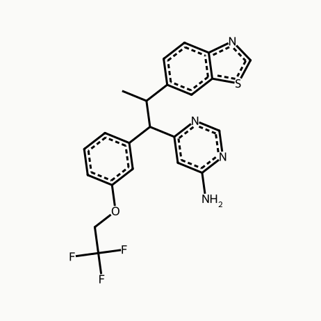 CC(c1ccc2ncsc2c1)C(c1cccc(OCC(F)(F)F)c1)c1cc(N)ncn1